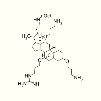 CCCCCCCCNCCCC(C)C1CCC2C3[C@H](OCCCNC(=N)N)CC4C[C@H](OCCCN)CC[C@]4(C)[C@H]3C[C@H](OCCCN)[C@]12C